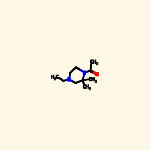 CCN1CCN(C(C)=O)C(C)(C)C1